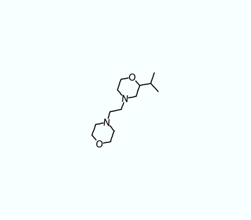 CC(C)C1CN(CCN2CCOCC2)CCO1